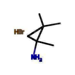 Br.CC1(C)CC1(C)N